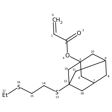 C=CC(=O)OC12CC3CC(C1)CC(SCCSCC)(C3)C2